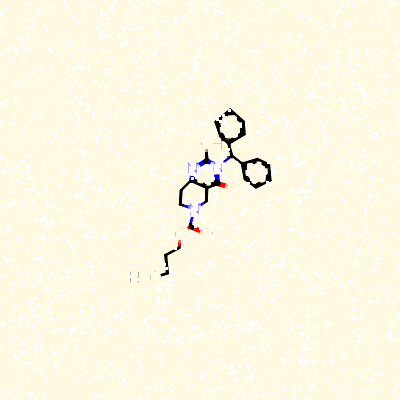 CCCCOC(=O)N1CCc2nc(C)n(C(c3ccccc3)c3ccccc3)c(=O)c2C1